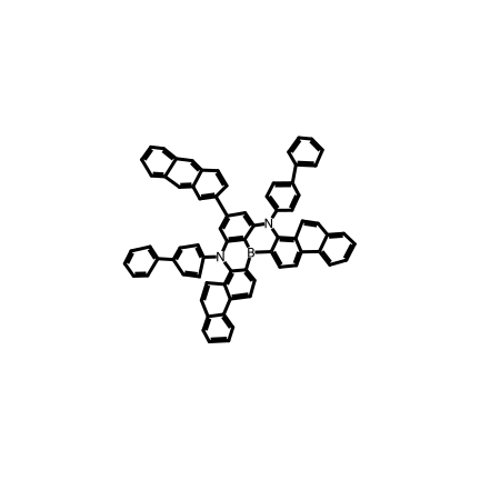 c1ccc(-c2ccc(N3c4cc(-c5ccc6cc7ccccc7cc6c5)cc5c4B(c4ccc6c(ccc7ccccc76)c43)c3ccc4c(ccc6ccccc64)c3N5c3ccc(-c4ccccc4)cc3)cc2)cc1